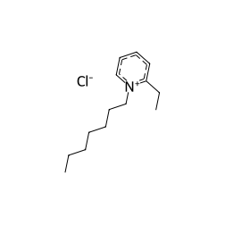 CCCCCCC[n+]1ccccc1CC.[Cl-]